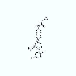 N[C@H]1C[C@@H](N2CC3CC(NC(=O)NC4CC4)CC3C2)CO[C@@H]1c1cc(F)ccc1F